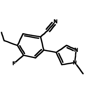 CCc1cc(C#N)c(-c2cnn(C)c2)cc1F